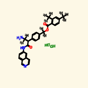 Cl.Cl.[2H]C([2H])([2H])c1ccc(C(=O)OC([2H])([2H])c2ccc(C(C(=O)Nc3ccc4cnccc4c3)C([2H])([2H])N)cc2)c(C([2H])([2H])[2H])c1